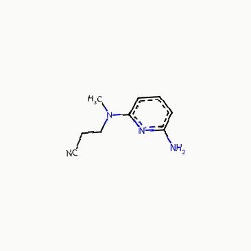 CN(CCC#N)c1cccc(N)n1